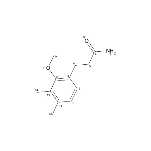 COc1c(CCC(N)=O)ccc(C)c1C